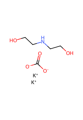 O=C([O-])[O-].OCCNCCO.[K+].[K+]